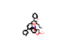 CCCCc1oc2ccccc2c1CC1(OCc2ccccc2)C=CC(c2ccccc2)C=C1NC(=O)CC(=O)O